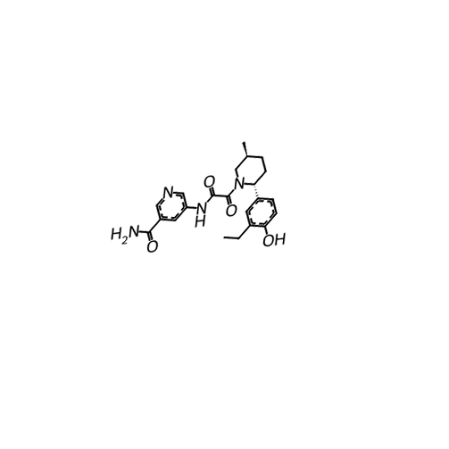 CCc1cc([C@H]2CC[C@H](C)CN2C(=O)C(=O)Nc2cncc(C(N)=O)c2)ccc1O